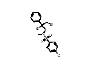 CN(CC(O)(CBr)c1ccccc1)S(=O)(=O)c1ccc(Cl)cc1